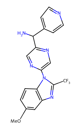 COc1ccc2c(c1)nc(C(F)(F)F)n2-c1cnc(C(N)c2ccncc2)cn1